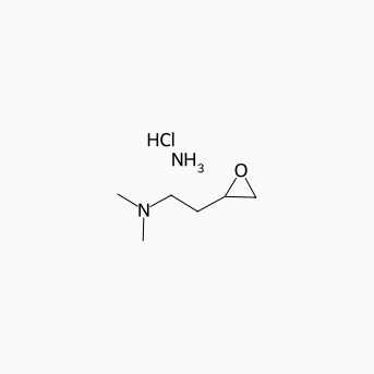 CN(C)CCC1CO1.Cl.N